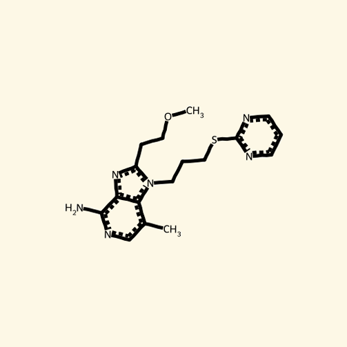 COCCc1nc2c(N)ncc(C)c2n1CCCSc1ncccn1